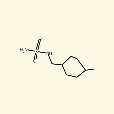 CC1CCC(CNS(N)(=O)=O)CC1